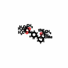 COC1=CC=CC(c2ccc(B3OC(C)(C)C(C)(C)O3)cc2)C1O[Si](C)(C)C(C)(C)C